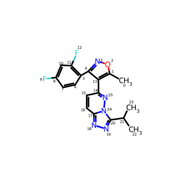 Cc1onc(-c2ccc(F)cc2F)c1-c1ccc2nnc(C(C)C)n2n1